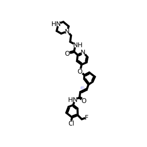 O=C(/C=C/c1cccc(Oc2ccnc(C(=O)NCCN3CCNCC3)c2)c1)Nc1ccc(Cl)c(CF)c1